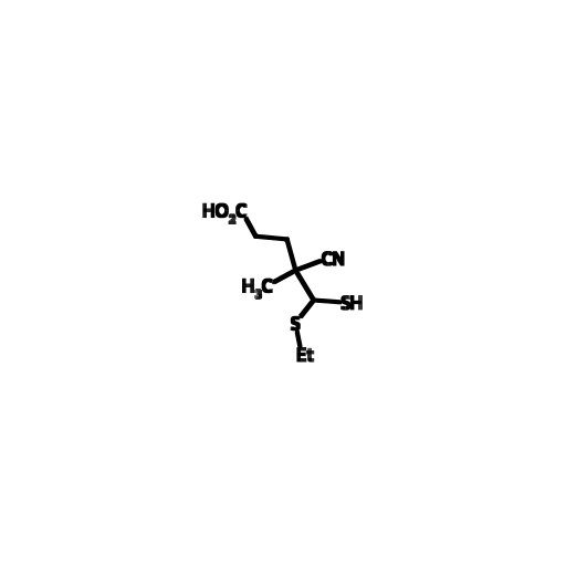 CCSC(S)C(C)(C#N)CCC(=O)O